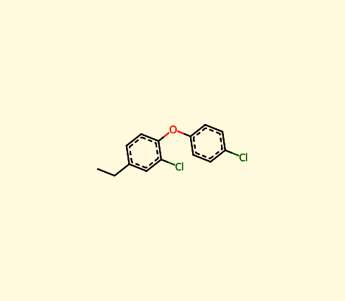 CCc1ccc(Oc2ccc(Cl)cc2)c(Cl)c1